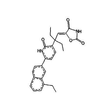 CCc1cccc2ccc(-c3ccc(C(C=C4OC(=O)NC4=O)(CC)CC)c(=O)[nH]3)cc12